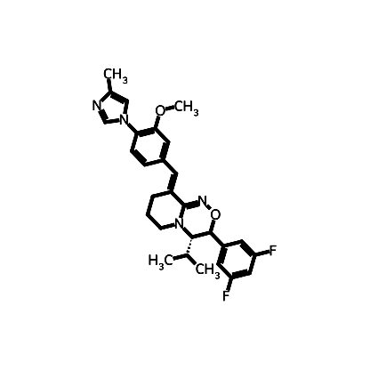 COc1cc(/C=C2\CCCN3C2=NOC(c2cc(F)cc(F)c2)[C@@H]3C(C)C)ccc1-n1cnc(C)c1